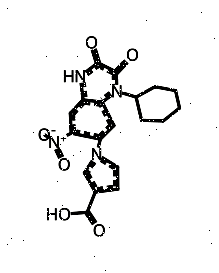 O=C(O)c1ccn(-c2cc3c(cc2[N+](=O)[O-])[nH]c(=O)c(=O)n3C2CCCCC2)c1